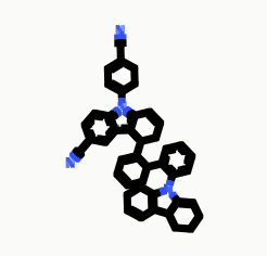 N#CC1=CC=C(n2c3c(c4cc(C#N)ccc42)C(C2=CC=CCC2c2ccccc2N2C4=CCCCC4C4=C2CCC=C4)CC=C3)CC1